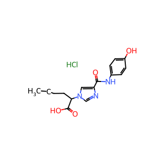 CCCCC(C(=O)O)n1cnc(C(=O)Nc2ccc(O)cc2)c1.Cl